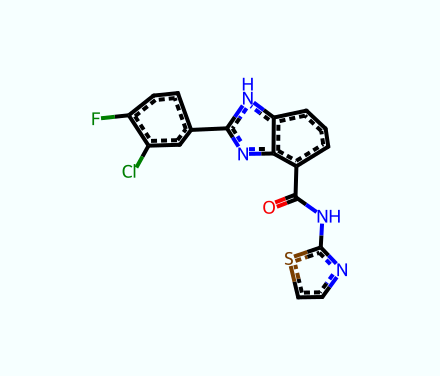 O=C(Nc1nccs1)c1cccc2[nH]c(-c3ccc(F)c(Cl)c3)nc12